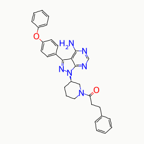 Nc1ncnc2c1c(-c1ccc(Oc3ccccc3)cc1)nn2[C@@H]1CCCN(C(=O)CCc2ccccc2)C1